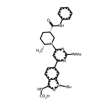 CNc1nc(-c2ccc3c(NC(=O)O)nn(C(C)(C)C)c3c2)cc(N2C[C@@H](C(=O)Nc3ccccc3)CC[C@H]2C)n1